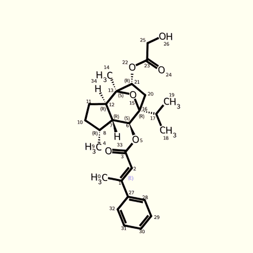 C/C(=C\C(=O)O[C@H]1[C@@H]2[C@H](C)CC[C@H]2[C@]2(C)O[C@@]1(C(C)C)C[C@H]2OC(=O)CO)c1ccccc1